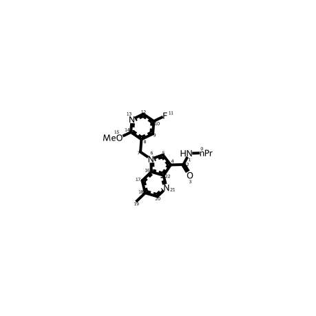 CCCNC(=O)c1cn(Cc2cc(F)cnc2OC)c2cc(C)cnc12